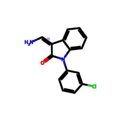 N/C=C1\C(=O)N(c2cccc(Cl)c2)c2ccccc21